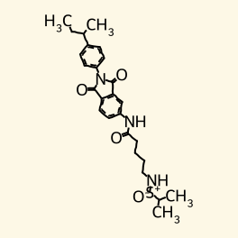 CCC(C)c1ccc(N2C(=O)c3ccc(NC(=O)CCCCN[S+]([O-])C(C)C)cc3C2=O)cc1